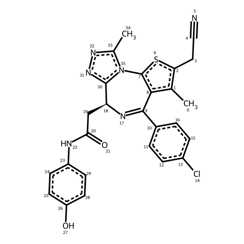 Cc1c(CC#N)sc2c1C(c1ccc(Cl)cc1)=N[C@@H](CC(=O)Nc1ccc(O)cc1)c1nnc(C)n1-2